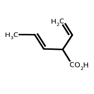 C=CC(C=CC)C(=O)O